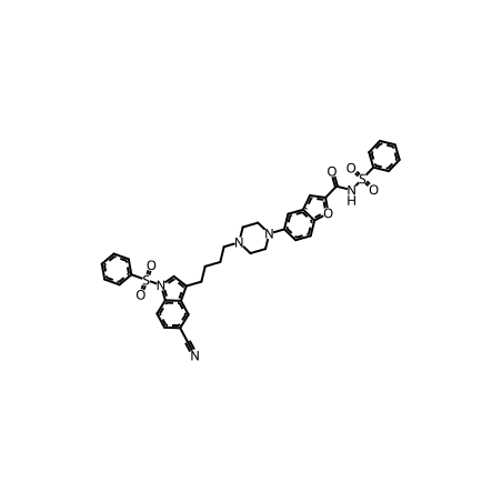 N#Cc1ccc2c(c1)c(CCCCN1CCN(c3ccc4oc(C(=O)NS(=O)(=O)c5ccccc5)cc4c3)CC1)cn2S(=O)(=O)c1ccccc1